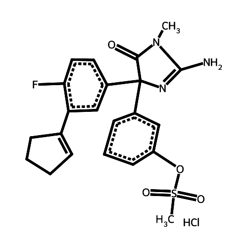 CN1C(=O)C(c2cccc(OS(C)(=O)=O)c2)(c2ccc(F)c(C3=CCCC3)c2)N=C1N.Cl